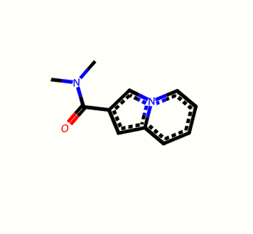 CN(C)C(=O)c1cc2ccccn2c1